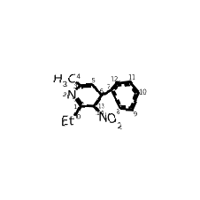 CCC1=NC(C)=CC(c2ccccc2)C1[N+](=O)[O-]